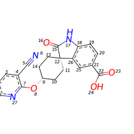 Cc1ccc(C#N)c(O[C@H]2CC[C@]3(CC2)C(=O)Nc2ccc(C(=O)O)cc23)n1